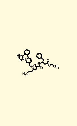 CCCc1cc(C(=O)NC(CC(=O)OCC)Cc2ccccc2)nn1Cc1ccc(-c2ccccc2-c2nnn[nH]2)nc1